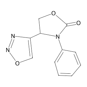 O=C1OCC(c2conn2)N1c1ccccc1